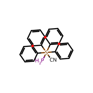 N#CS(P)(c1ccccc1)(c1ccccc1)(c1ccccc1)c1ccccc1